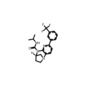 CC(C)NC(=O)N1c2nc(-c3cccc(C(F)(F)F)c3)ccc2N2CC[C@H]1C2